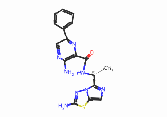 C[C@@H](NC(=O)c1nc(-c2ccccc2)cnc1N)c1ncc2sc(N)nn12